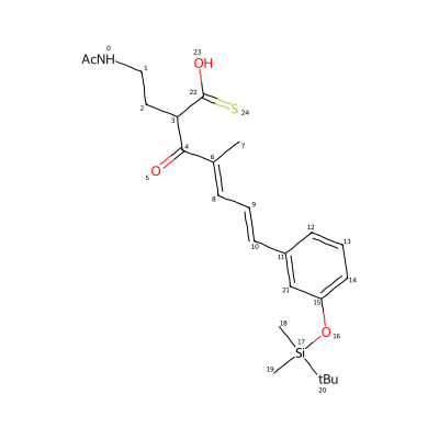 CC(=O)NCCC(C(=O)/C(C)=C/C=C/c1cccc(O[Si](C)(C)C(C)(C)C)c1)C(O)=S